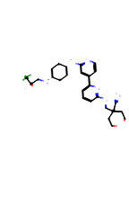 C[C@](O)(CN[C@H]1CC[C@H](Nc2cc(-c3cccc(NCC4(C#N)CCOCC4)n3)ccn2)CC1)C(F)(F)F